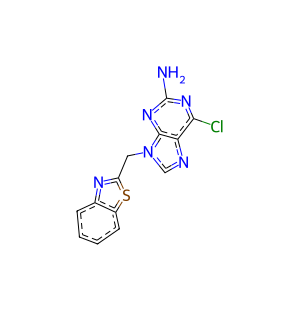 Nc1nc(Cl)c2ncn(Cc3nc4ccccc4s3)c2n1